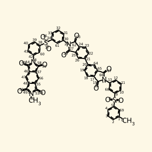 Cc1cccc(S(=O)(=O)c2cccc(N3C(=O)c4ccc(-c5ccc6c(c5)C(=O)N(c5cccc(S(=O)(=O)c7cccc(-n8c(=O)c9cc%10c(=O)n(C)c(=O)c%10cc9c8=O)c7)c5)C6=O)cc4C3=O)c2)c1